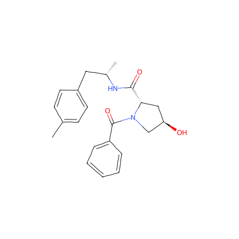 Cc1ccc(C[C@H](C)NC(=O)[C@@H]2C[C@@H](O)CN2C(=O)c2ccccc2)cc1